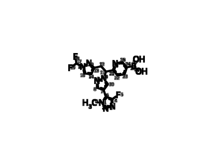 Cn1nnc(F)c1-c1cnn(C(Cc2ccn(C(F)F)n2)c2ccc(B(O)O)cn2)c1